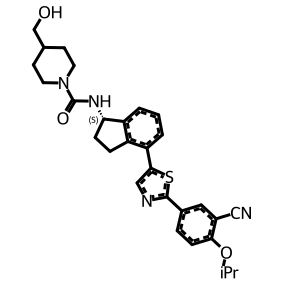 CC(C)Oc1ccc(-c2ncc(-c3cccc4c3CC[C@@H]4NC(=O)N3CCC(CO)CC3)s2)cc1C#N